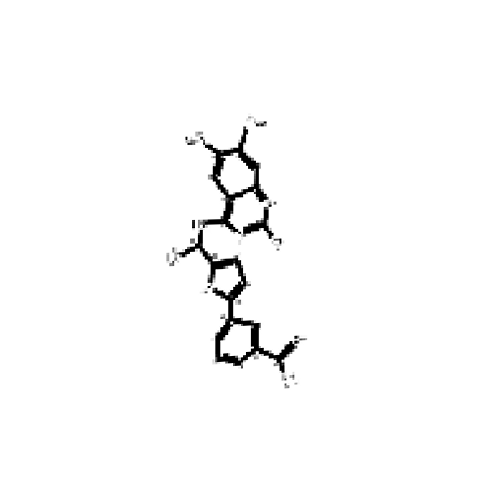 COc1cc2nc(C)nc(NC(C)c3ccc(-c4cccc(C(N)=O)c4)s3)c2cc1OC